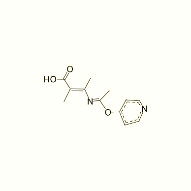 C/C(=N\C(C)=C(/C)C(=O)O)Oc1ccncc1